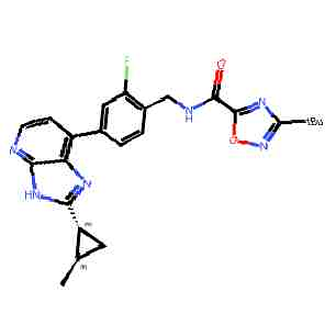 C[C@@H]1C[C@H]1c1nc2c(-c3ccc(CNC(=O)c4nc(C(C)(C)C)no4)c(F)c3)ccnc2[nH]1